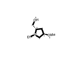 CCN1C[C@H](OC)C[C@H]1CO